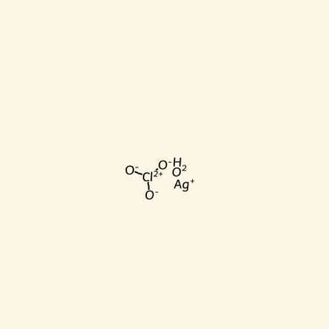 O.[Ag+].[O-][Cl+2]([O-])[O-]